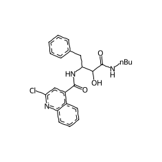 CCCCNC(=O)C(O)C(Cc1ccccc1)NC(=O)c1cc(Cl)nc2ccccc12